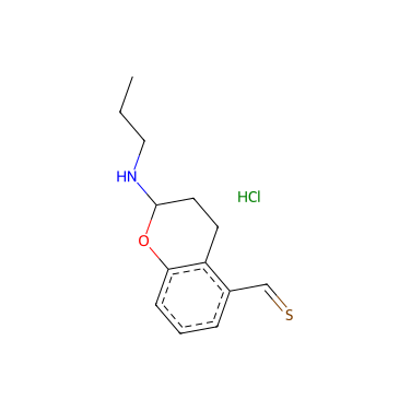 CCCNC1CCc2c(C=S)cccc2O1.Cl